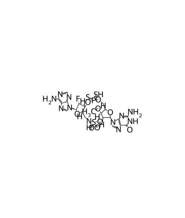 CO[C@@H]1[C@H]2OS(=O)(=O)NC[C@H]3O[C@@H](n4cnc5c(N)ncnc54)[C@H](F)[C@@H]3OP(=S)(S)OC[C@H]1O[C@H]2n1cnc2c(=O)[nH]c(N)nc21